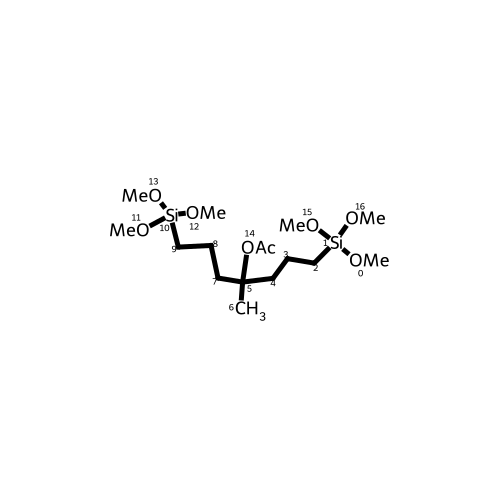 CO[Si](CCCC(C)(CCC[Si](OC)(OC)OC)OC(C)=O)(OC)OC